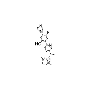 C=C(c1cnc(-c2cc(F)c(-n3ccnc3)cc2O)cn1)C1C[C@]2(C)CC[C@](C)(C1)N2